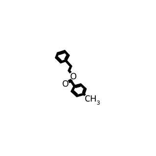 Cc1ccc(C(=O)OCCc2ccccc2)cc1